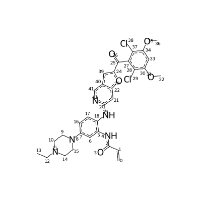 C=CC(=O)Nc1cc(N2CCN(CC)CC2)ccc1Nc1cc2oc(C(=O)c3c(Cl)c(OC)cc(OC)c3Cl)cc2cn1